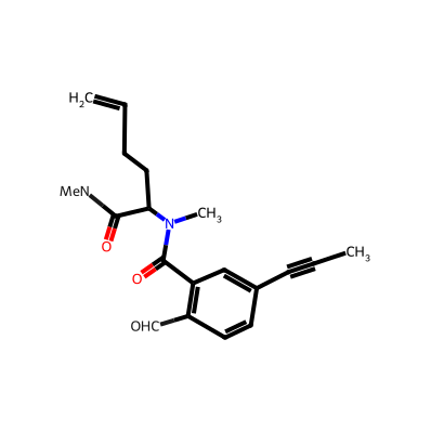 C=CCCC(C(=O)NC)N(C)C(=O)c1cc(C#CC)ccc1C=O